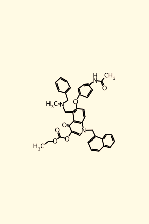 CCOC(=O)Oc1cn(Cc2cccc3ccccc23)c2ccc(Oc3ccc(NC(C)=O)cc3)c(CN(C)Cc3ccccc3)c2c1=O